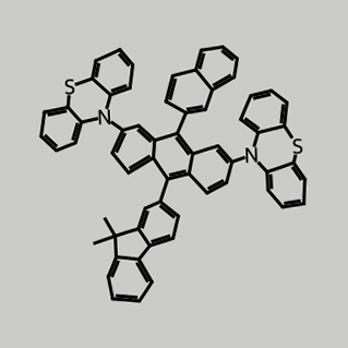 CC1(C)c2ccccc2-c2ccc(-c3c4ccc(N5c6ccccc6Sc6ccccc65)cc4c(-c4ccc5ccccc5c4)c4cc(N5c6ccccc6Sc6ccccc65)ccc34)cc21